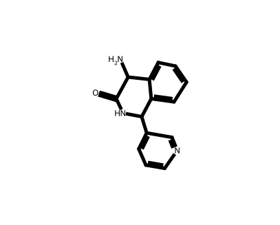 NC1C(=O)NC(c2cccnc2)c2ccccc21